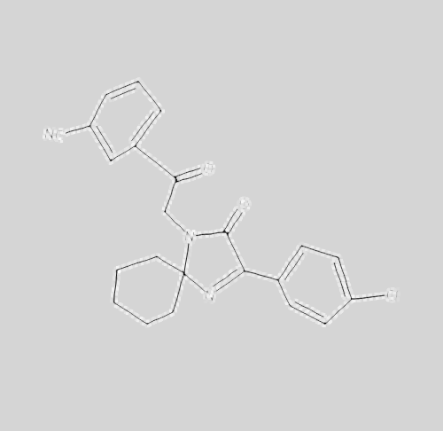 N#Cc1cccc(C(=O)CN2C(=O)C(c3ccc(Cl)cc3)=NC23CCCCC3)c1